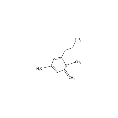 C=C1C=C(C)C=C(CCC)N1C